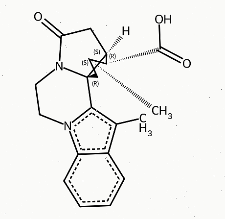 Cc1c2n(c3ccccc13)CCN1C(=O)C[C@H]3[C@H](C(=O)O)[C@@H](C)C[C@]231